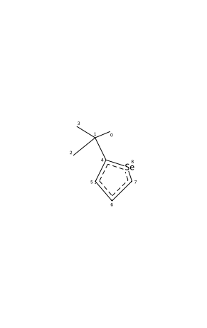 CC(C)(C)c1[c]cc[se]1